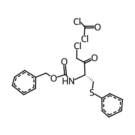 O=C(Cl)Cl.O=C(N[C@@H](CSc1ccccc1)C(=O)CCl)OCc1ccccc1